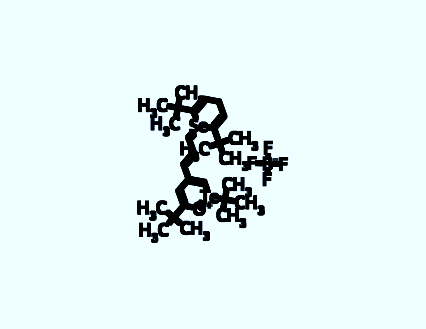 CC(C)(C)C1=CC(C=CC=[Se]2C(C(C)(C)C)=CCC=C2C(C)(C)C)=C[Te](C(C)(C)C)=[O+]1.F[B-](F)(F)F